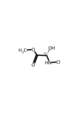 COC(=O)[C@H](O)NCl